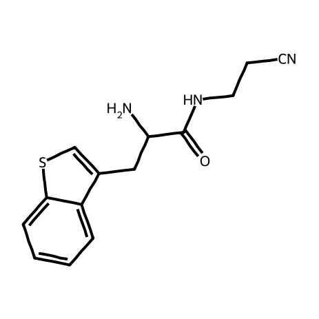 N#CCCNC(=O)C(N)Cc1csc2ccccc12